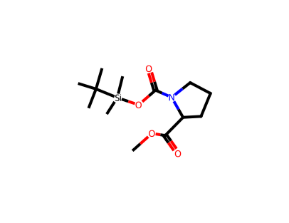 COC(=O)C1CCCN1C(=O)O[Si](C)(C)C(C)(C)C